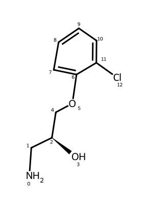 NC[C@H](O)COc1ccccc1Cl